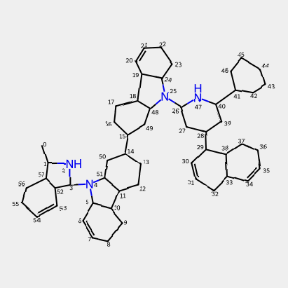 CC1NC(N2C3C=CCCC3C3CCC(C4CCC5C6C=CCCC6N(C6CC(C7C=CCC8C=CCCC87)CC(C7CCCCC7)N6)C5C4)CC32)C2C=CCCC12